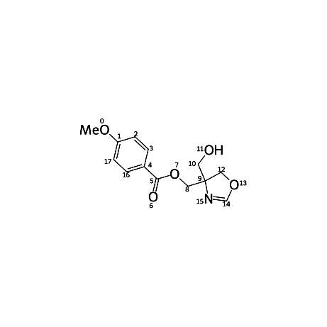 COc1ccc(C(=O)OCC2(CO)COC=N2)cc1